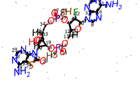 Nc1ncnc2c1ncn2[C@@H]1O[C@@H]2COP(=O)(S)OC3[C@H](n4c(=O)sc5c(N)ncnc54)O[C@H](COP(=O)(S)OC2[C@H]1F)[C@H]3O